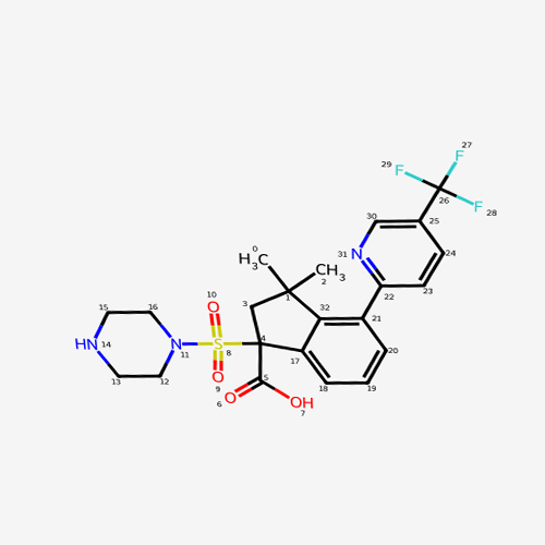 CC1(C)CC(C(=O)O)(S(=O)(=O)N2CCNCC2)c2cccc(-c3ccc(C(F)(F)F)cn3)c21